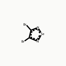 Brc1n[se]nc1Br